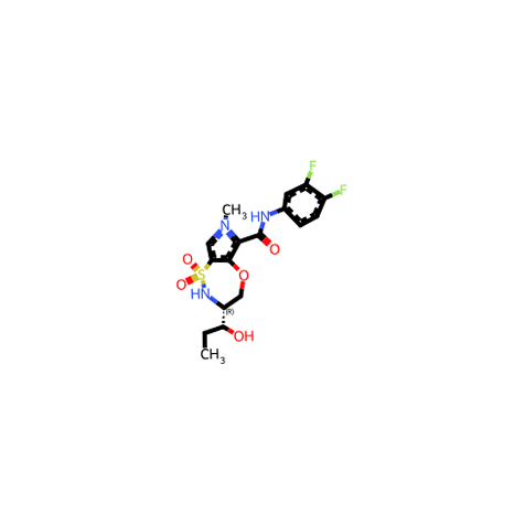 CCC(O)[C@H]1COc2c(cn(C)c2C(=O)Nc2ccc(F)c(F)c2)S(=O)(=O)N1